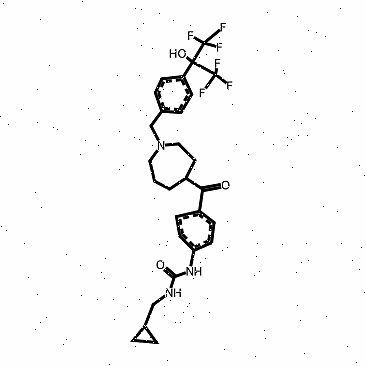 O=C(NCC1CC1)Nc1ccc(C(=O)C2CCCN(Cc3ccc(C(O)(C(F)(F)F)C(F)(F)F)cc3)CC2)cc1